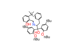 CCCCOc1ccc(C(C)(C)C)cc1C(O)(c1cc(C(C)(C)C)ccc1OCCCC)C(Cc1ccccc1)N=Cc1c(O)cccc1[Si](C)(C)C